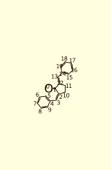 O=C1/C(=C\c2ccccc2)CC/C1=C\c1ccccc1